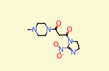 CN1CCN(C(=O)CC(=O)N2CCN=C2[N+](=O)[O-])CC1